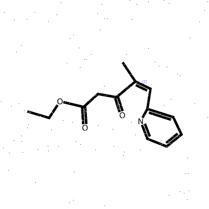 CCOC(=O)CC(=O)/C(C)=C\c1ccccn1